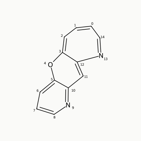 C1=CC=C2Oc3cccnc3C=C2N=C1